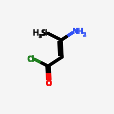 NC([SiH3])=CC(=O)Cl